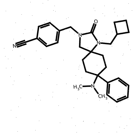 CN(C)C1(c2ccccc2)CCC2(CC1)CN(Cc1ccc(C#N)cc1)C(=O)N2CC1CCC1